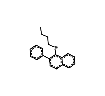 CCCCNc1c(-c2ccccc2)ccc2ccccc12